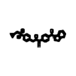 O=C(Cc1ccc(S(=O)(=O)CC2CC2)cc1)Nc1ccc(C(=O)N2CCc3ccccc32)cc1